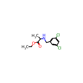 CCOC(=O)C(C)NCc1cc(Cl)cc(Cl)c1